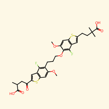 COc1cc2sc(C(=O)CC(C)C(=O)O)cc2c(F)c1CCCOc1c(OC)cc2sc(CCC(C)(C)C(=O)O)cc2c1F